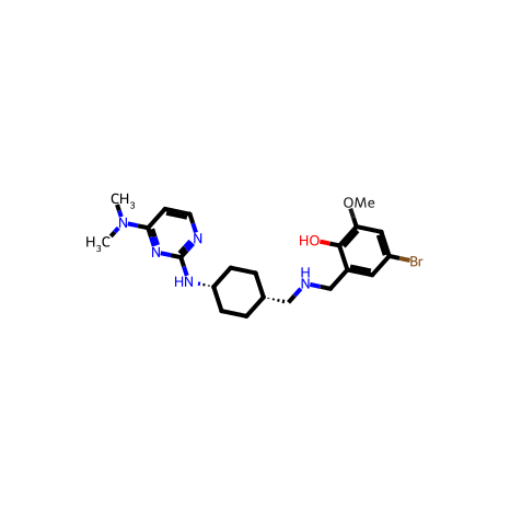 COc1cc(Br)cc(CNC[C@H]2CC[C@@H](Nc3nccc(N(C)C)n3)CC2)c1O